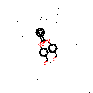 O=Cc1ccc(OC(=O)[C]23[CH]4[CH]5[CH]6[CH]2[Fe]56432789[CH]3[CH]2[CH]7[C]8(C(=O)Oc2ccc(C=O)cc2)[CH]39)cc1